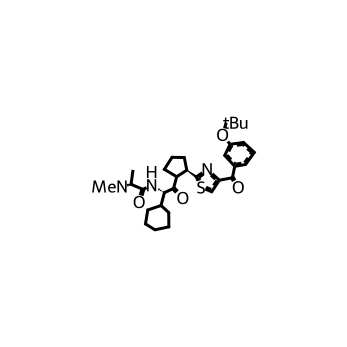 CN[C@@H](C)C(=O)N[C@H](C(=O)C1CCC[C@H]1c1nc(C(=O)c2cccc(OC(C)(C)C)c2)cs1)C1CCCCC1